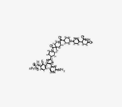 CCCS(=O)(=O)Nc1cccc(-c2nc(C3CCN(C(=O)C4(C)CCN(C(=O)C5CCN(c6ccc([C@@H]7CCC(=O)NC7=O)cn6)CC5)CC4)CC3)sc2-c2ccnc(N)n2)c1F